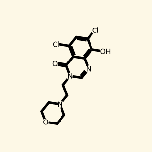 O=c1c2c(Cl)cc(Cl)c(O)c2ncn1CCN1CCOCC1